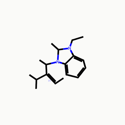 C/C=C(/C(C)C)C(C)N1c2ccccc2N(CC)C1C